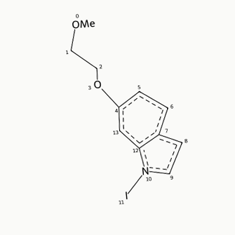 COCCOc1ccc2ccn(I)c2c1